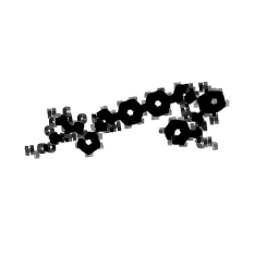 COC(=O)N[C@H](C(=O)N1CCC[C@H]1c1ncc(-c2ccc(-c3ccc(-c4cnc([C@@H]5[C@H]6CC[C@H](C6)[C@H]5C(=O)N[C@H](C)c5cccnc5)[nH]4)cc3)cc2)[nH]1)C(C)C